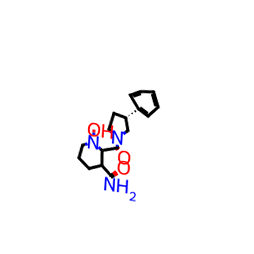 NC(=O)C1CCCN(O)C1C(=O)N1CC[C@H](c2ccccc2)C1